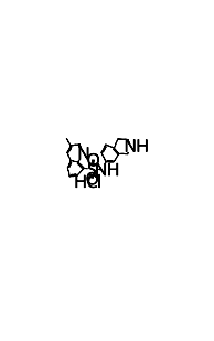 Cc1cnc2c(S(=O)(=O)Nc3ccc4c(c3)CNCC4)cccc2c1.Cl